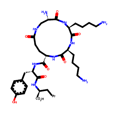 CC(C)C[C@H](NC(=O)[C@H](Cc1ccc(O)cc1)NC(=O)[C@@H]1CCC(=O)NC[C@H](N)C(=O)N[C@@H](CCCCN)C(=O)N[C@@H](CCCCN)C(=O)N1)C(=O)O